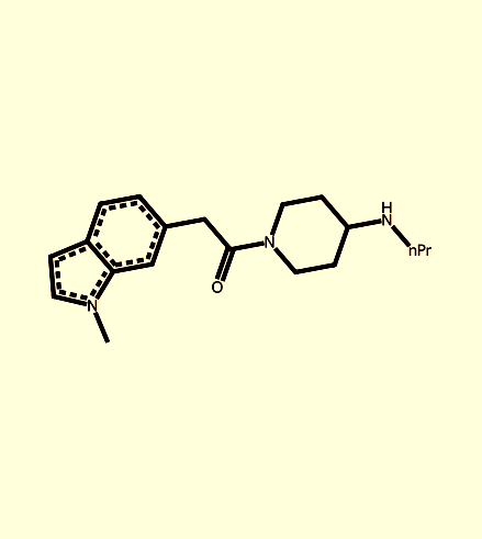 CCCNC1CCN(C(=O)Cc2ccc3ccn(C)c3c2)CC1